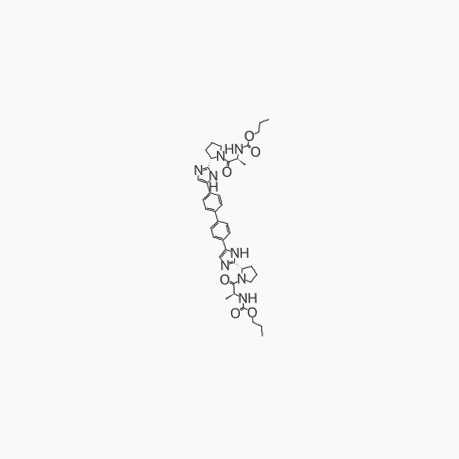 CCCOC(=O)N[C@@H](C)C(=O)N1CCC[C@H]1c1ncc(-c2ccc(-c3ccc(-c4cnc([C@@H]5CCCN5C(=O)[C@H](C)NC(=O)OCCC)[nH]4)cc3)cc2)[nH]1